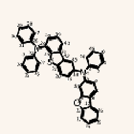 c1ccc(N(c2ccc3c(c2)oc2ccccc23)c2ccc3sc4c(N(c5ccccc5)c5ccccc5)cccc4c3c2)cc1